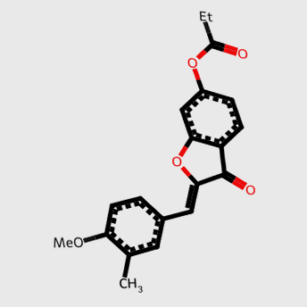 CCC(=O)Oc1ccc2c(c1)O/C(=C\c1ccc(OC)c(C)c1)C2=O